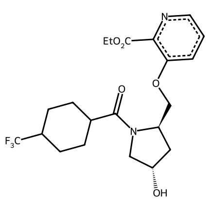 CCOC(=O)c1ncccc1OC[C@H]1C[C@H](O)CN1C(=O)C1CCC(C(F)(F)F)CC1